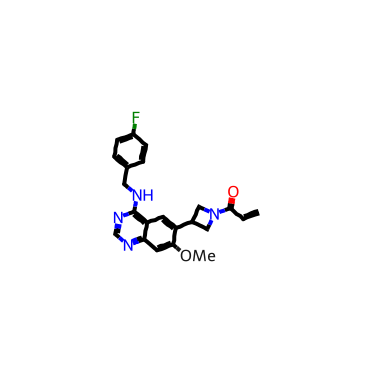 C=CC(=O)N1CC(c2cc3c(NCc4ccc(F)cc4)ncnc3cc2OC)C1